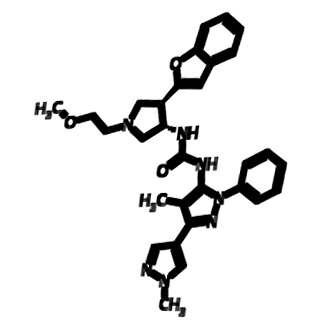 COCCN1C[C@@H](NC(=O)Nc2c(C)c(-c3cnn(C)c3)nn2-c2ccccc2)[C@H](c2cc3ccccc3o2)C1